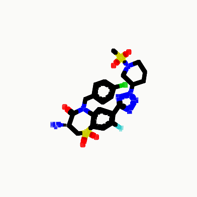 CS(=O)(=O)N1CCCC(n2nnc(-c3cc4c(cc3F)S(=O)(=O)C[C@H](N)C(=O)N4Cc3ccc(Cl)cc3)n2)C1